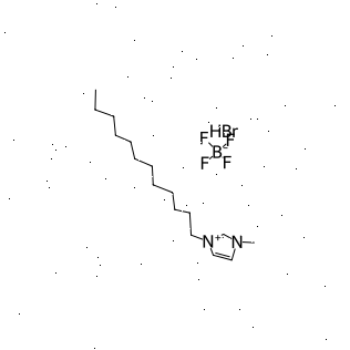 Br.CCCCCCCCCCCC[n+]1ccn(C)c1.F[B-](F)(F)F